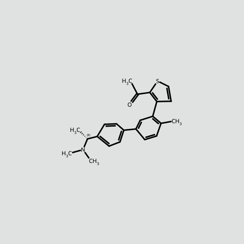 CC(=O)c1sccc1-c1cc(-c2ccc([C@@H](C)N(C)C)cc2)ccc1C